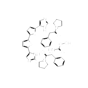 COC(=O)N[C@@H](C(=O)N1CCC[C@H]1c1ncc(-c2ccc(-c3ccc(-c4cnc([C@@H]5CCCN5C(=O)Cc5ccccc5)[nH]4)s3)s2)[nH]1)c1ccccc1